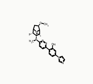 CO[C@@H]1CC2[C@@H](F)[C@H](N(C)c3ccc(-c4ccc(-n5ccnc5)cc4O)nn3)CC1N2C